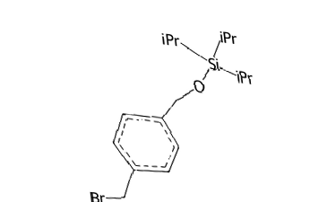 CC(C)[Si](OCc1ccc(CBr)cc1)(C(C)C)C(C)C